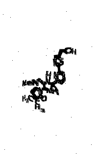 CN/C=C(/NC(=O)c1cccc(-c2ncc(CO)s2)n1)C(=N)N1CCC(C)(C)C1=O